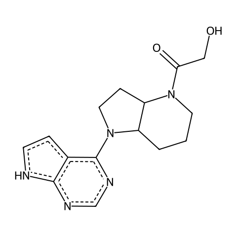 O=C(CO)N1CCCC2C1CCN2c1ncnc2[nH]ccc12